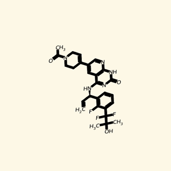 C=C[C@@H](Nc1nc(=O)[nH]c2ncc(C3=CCN(C(C)=O)CC3)cc12)c1cccc(C(F)(F)C(C)(C)O)c1F